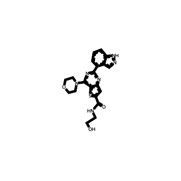 O=C(NCCO)c1cc2nc(-c3cccc4[nH]ncc34)nc(N3CCOCC3)c2s1